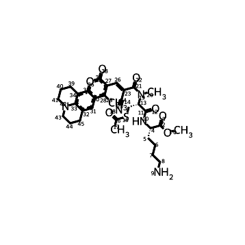 COC(=O)[C@H](CCCCN)NC(=O)[C@H](CSC(C)=O)N(C)C(=O)/C(C#N)=C/c1c(C)c2cc3c4c(c2oc1=O)CCCN4CCC3